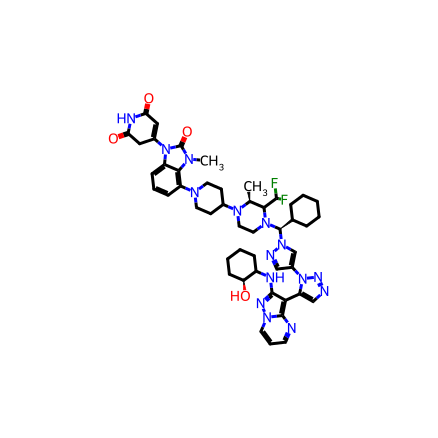 C[C@H]1C(C(F)F)N([C@@H](C2CCCCC2)n2cc(-n3nncc3-c3c(NC4CCCC[C@@H]4O)nn4cccnc34)cn2)CCN1C1CCN(c2cccc3c2n(C)c(=O)n3C2=CC(=O)NC(=O)C2)CC1